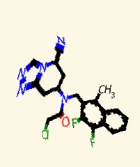 Cc1c(CN(C(=O)CCl)C2Cc3nncn3C(C#N)C2)c(F)c(F)c2ccccc12